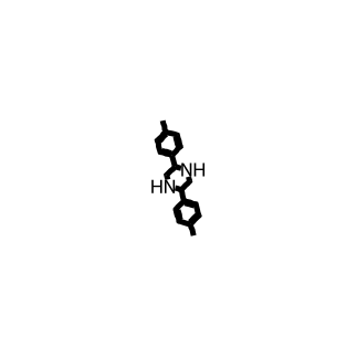 Cc1ccc(C2CNC(c3ccc(C)cc3)CN2)cc1